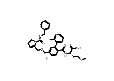 CSCC[C@H](NC(=O)c1ccc(COCC2=CCCN2C(=O)OCc2ccccc2)cc1-c1ccccc1C)C(=O)O.[Li]